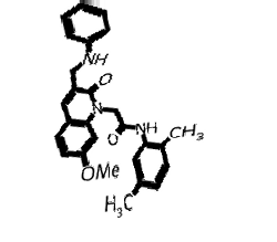 COc1ccc2cc(CNc3ccccc3)c(=O)n(CC(=O)Nc3cc(C)ccc3C)c2c1